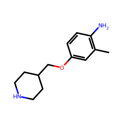 Cc1cc(OCC2CCNCC2)ccc1N